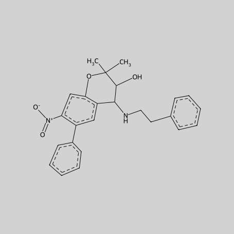 CC1(C)Oc2cc([N+](=O)[O-])c(-c3ccccc3)cc2C(NCCc2ccccc2)C1O